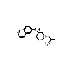 C[C@@H](N)CN1CCC[C@H](Nc2ccc3cnccc3c2)C1